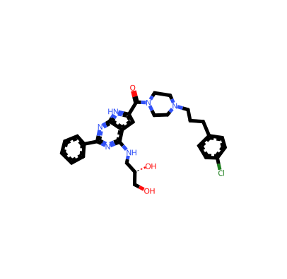 O=C(c1cc2c(NC[C@H](O)CO)nc(-c3ccccc3)nc2[nH]1)N1CCN(CCCc2ccc(Cl)cc2)CC1